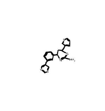 NC1=NC(c2cccc(-c3cncnc3)c2)CC(c2cccnc2)S1